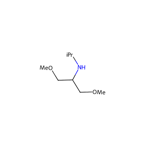 COCC(COC)NC(C)C